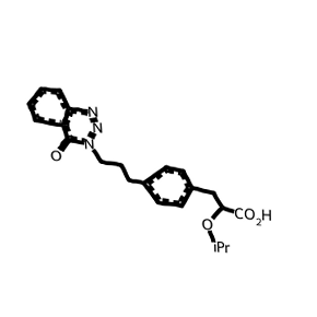 CC(C)OC(Cc1ccc(CCCn2nnc3ccccc3c2=O)cc1)C(=O)O